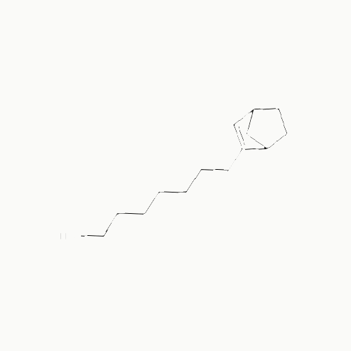 CCCCCCCCC1=CC2CCC1C2